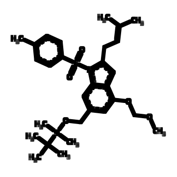 COCOc1cc(CO[Si](C)(C)C(C)(C)C)cc2c1cc(CC=C(C)C)n2S(=O)(=O)c1ccc(C)cc1